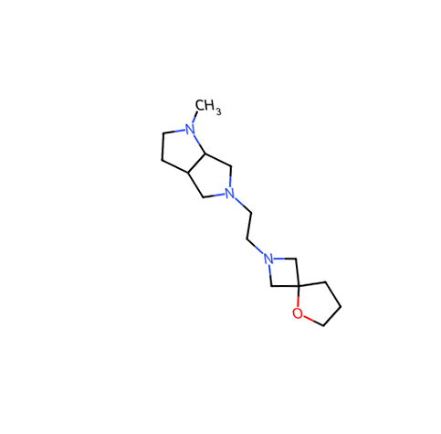 CN1CCC2CN(CCN3CC4(CCCO4)C3)CC21